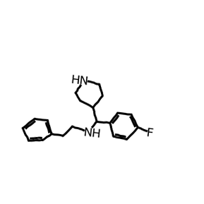 Fc1ccc(C(NCCc2ccccc2)C2CCNCC2)cc1